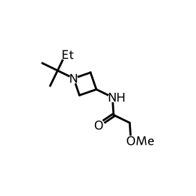 CCC(C)(C)N1CC(NC(=O)COC)C1